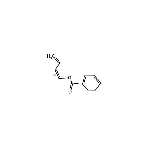 C=C/C=C\OC(=O)c1ccccc1